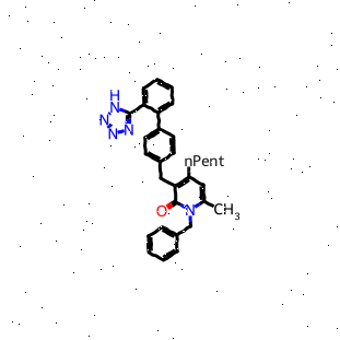 CCCCCc1cc(C)n(Cc2ccccc2)c(=O)c1Cc1ccc(-c2ccccc2-c2nnn[nH]2)cc1